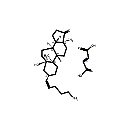 C[C@]12CC[C@H]3[C@@H](CC[C@@]4(O)C[C@H](/C=C\CCCN)CC[C@]34C)[C@@H]1CCC2=O.O=C(O)/C=C/C(=O)O